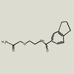 NC(=O)COCCNC(=O)c1ccc2c(c1)CCC2